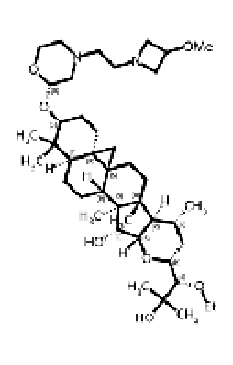 CCO[C@@H]([C@H]1C[C@@H](C)[C@H]2[C@H](O1)[C@H](O)[C@@]1(C)[C@@H]3CC[C@H]4C(C)(C)[C@@H](O[C@H]5CN(CCN6CC(OC)C6)CCO5)CC[C@@]45C[C@@]35CC[C@]21C)C(C)(C)O